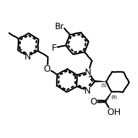 Cc1ccc(COc2ccc3nc([C@H]4CCCC[C@H]4C(=O)O)n(Cc4ccc(Br)c(F)c4)c3c2)nc1